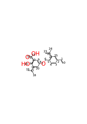 C=Cc1ccc(COc2cc(C(=O)O)c(O)c(C(C)C)c2)c(C(=C)C)c1